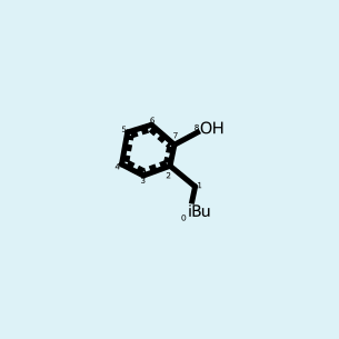 CCC(C)Cc1ccccc1O